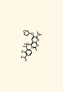 Cc1nc(N[C@H](C)c2cccc(C(F)F)c2F)c2cc(O[C@H]3CCOC3)c(N(C)C)nc2n1